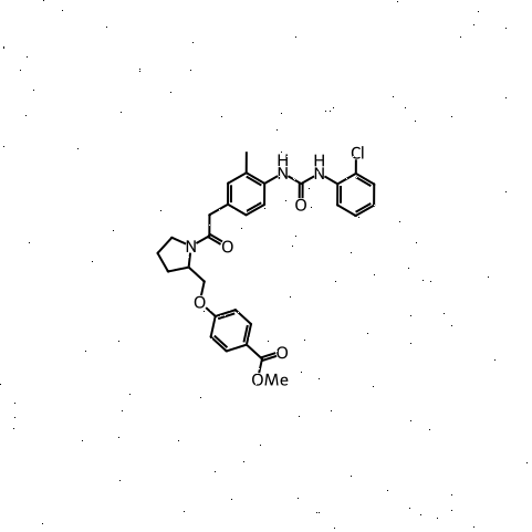 COC(=O)c1ccc(OCC2CCCN2C(=O)Cc2ccc(NC(=O)Nc3ccccc3Cl)c(C)c2)cc1